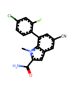 Cn1c(C(N)=O)cc2cc(C#N)cc(-c3ccc(Cl)cc3F)c21